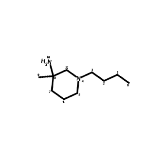 CCCCN1CCCC(C)(N)C1